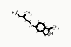 C=C(CC)CCSc1ccc2c(c1)CNC2=C